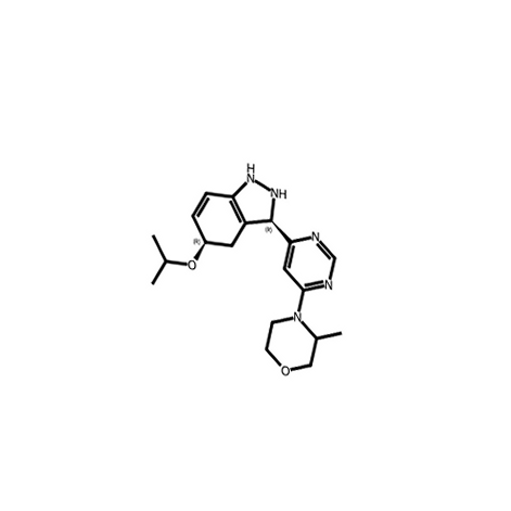 CC(C)O[C@H]1C=CC2=C(C1)[C@H](c1cc(N3CCOCC3C)ncn1)NN2